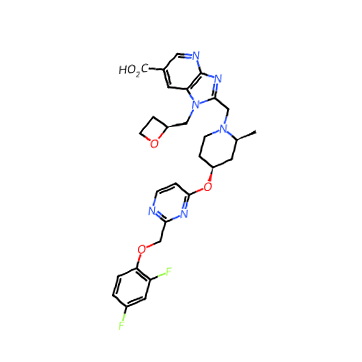 C[C@H]1C[C@@H](Oc2ccnc(COc3ccc(F)cc3F)n2)CCN1Cc1nc2ncc(C(=O)O)cc2n1C[C@@H]1CCO1